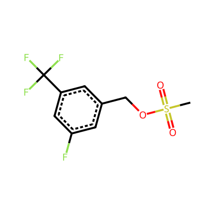 CS(=O)(=O)OCc1cc(F)cc(C(F)(F)F)c1